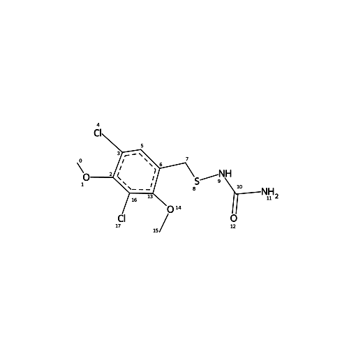 COc1c(Cl)cc(CSNC(N)=O)c(OC)c1Cl